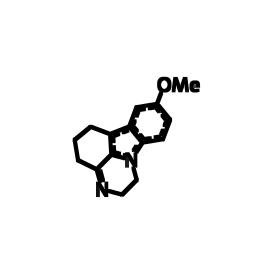 COc1ccc2c(c1)c1c3n2CCN=C3CCC1